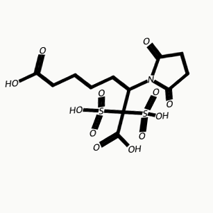 O=C(O)CCCCC(N1C(=O)CCC1=O)C(C(=O)O)(S(=O)(=O)O)S(=O)(=O)O